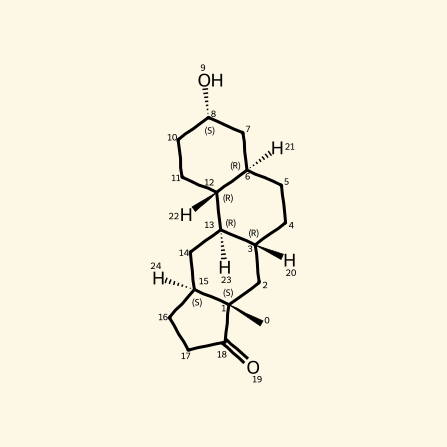 C[C@]12C[C@H]3CC[C@@H]4C[C@@H](O)CC[C@H]4[C@@H]3C[C@@H]1CCC2=O